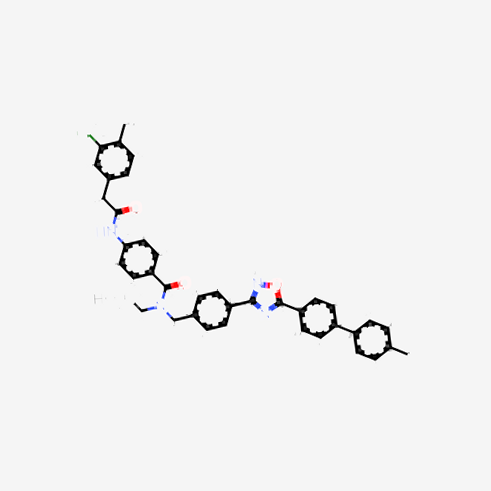 Cc1ccc(-c2ccc(-c3nc(-c4ccc(CN(CC(=O)O)C(=O)c5ccc(NC(=O)Cc6ccc(C)c(Cl)c6)cc5)cc4)no3)cc2)cc1